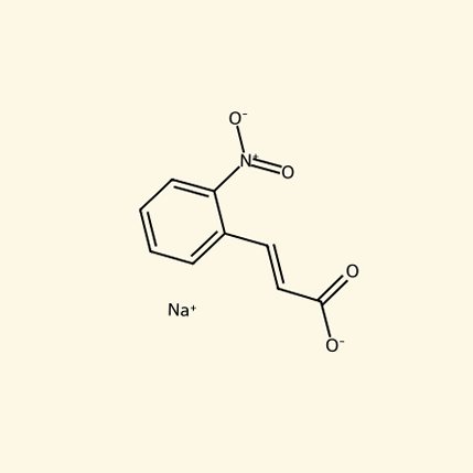 O=C([O-])/C=C/c1ccccc1[N+](=O)[O-].[Na+]